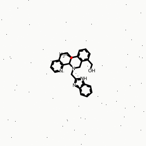 NCc1cccc(CO)c1CN(Cc1nc2ccccc2[nH]1)C1CCCc2cccnc21